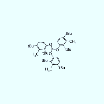 Cc1c(C(C)(C)C)ccc(OP(Oc2ccc(C(C)(C)C)c(C)c2C(C)(C)C)Oc2ccc(C(C)(C)C)c(C)c2C(C)(C)C)c1C(C)(C)C